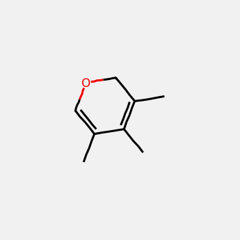 CC1=COCC(C)=C1C